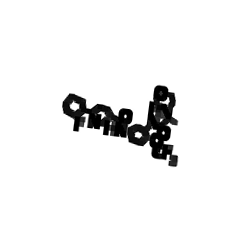 CC(C(=O)Nc1cc(NC(=O)c2ccc(-c3ccccc3F)nc2)ccc1OC(F)(F)F)N1CCOCC1